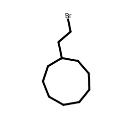 BrCC[C]1CCCCCCCC1